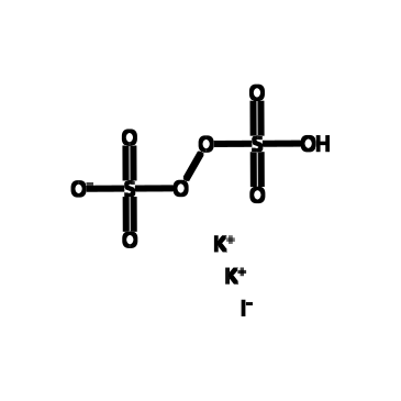 O=S(=O)([O-])OOS(=O)(=O)O.[I-].[K+].[K+]